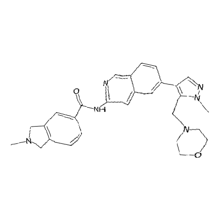 CN1Cc2ccc(C(=O)Nc3cc4cc(-c5cnn(C)c5CN5CCOCC5)ccc4cn3)cc2C1